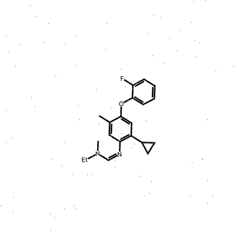 CCN(C)/C=N\c1cc(C)c(Oc2ccccc2F)cc1C1CC1